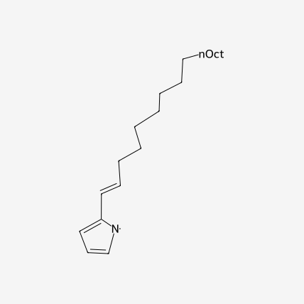 CCCCCCCCCCCCCCCC=CC1=CC=C[N]1